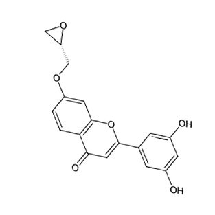 O=c1cc(-c2cc(O)cc(O)c2)oc2cc(OC[C@@H]3CO3)ccc12